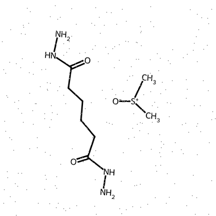 C[S+](C)[O-].NNC(=O)CCCCC(=O)NN